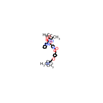 COC(=O)C(CC(C)C)NC(=O)C(Cc1ccccc1)NC(=O)C1CCN(C(=O)OCc2ccc(OCCCC[N+](C)(C)C)cc2)CC1